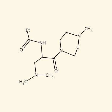 CCC(=O)NC(CN(C)C)C(=O)N1CCN(C)CC1